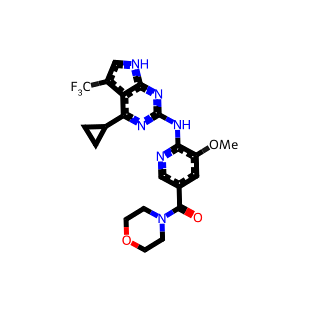 COc1cc(C(=O)N2CCOCC2)cnc1Nc1nc(C2CC2)c2c(C(F)(F)F)c[nH]c2n1